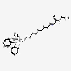 CCOC(=O)/C=C/CCCCCCCCCCO[Si](c1ccccc1)(c1ccccc1)C(C)(C)C